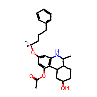 CC(=O)Oc1cc(O[C@H](C)CCCc2ccccc2)cc2c1C1CC(O)CCC1C(C)N2